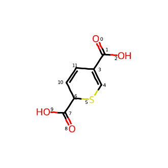 O=C(O)C1=CSC(C(=O)O)C=C1